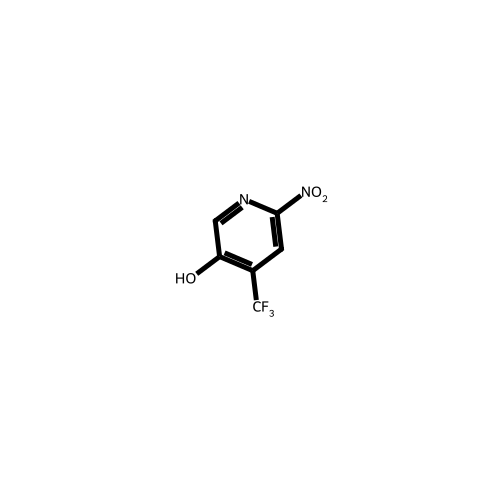 O=[N+]([O-])c1cc(C(F)(F)F)c(O)cn1